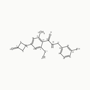 CCSc1nc(N2CC(=O)C2)cc(C)c1C(=O)NCc1cccc(F)c1